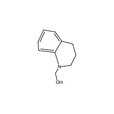 OCN1CCCc2ccccc21